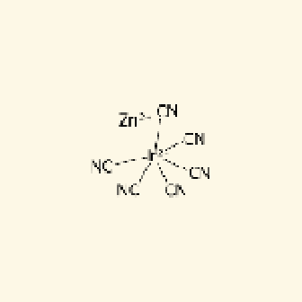 N#[C][Ir-2]([C]#N)([C]#N)([C]#N)([C]#N)[C]#N.[Zn+2]